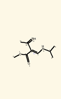 COC(=O)/C(=C/NC(C)C)C(C)=N